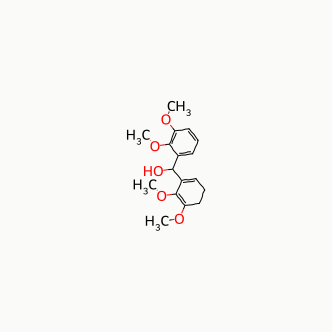 COC1=C(OC)C(C(O)c2cccc(OC)c2OC)=CCC1